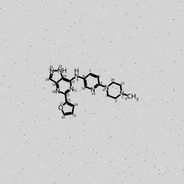 CN1CCN(c2ccc(Nc3nc(-c4ccco4)nc4cn[nH]c34)cn2)CC1